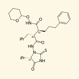 CC(C)C[C@@H](C(=O)NN1C(=S)NC(=O)[C@@H]1C(C)C)[C@H](CCCc1ccccc1)C(=O)NOC1CCCCO1